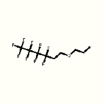 [CH2]CCOCCC(F)(F)C(F)(F)C(F)(F)C(F)(F)F